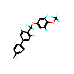 Cc1ccc(-c2cc(F)c(C(F)(F)Oc3cc(F)c(OC(F)(F)F)c(F)c3)c(F)c2)cc1